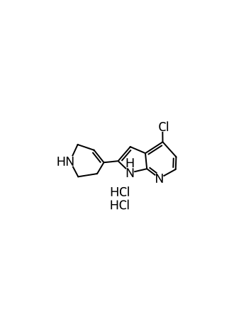 Cl.Cl.Clc1ccnc2[nH]c(C3=CCNCC3)cc12